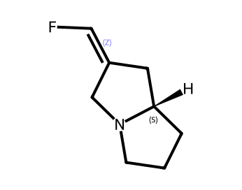 F/C=C1/C[C@@H]2CCCN2C1